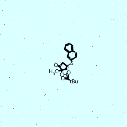 CC(C)(C)C(=O)O[C@H]1[C@H](Sc2ccc3ccccc3c2)CC(=O)C1(C)C